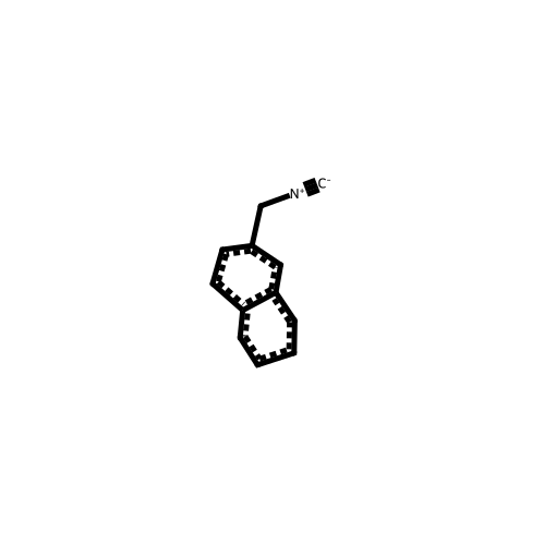 [C-]#[N+]Cc1ccc2ccccc2c1